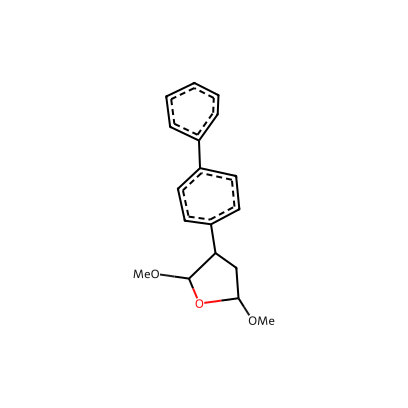 COC1CC(c2ccc(-c3ccccc3)cc2)C(OC)O1